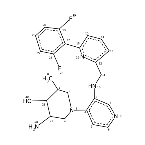 CC1CN(c2ccncc2NCc2cccc(-c3c(F)cccc3F)n2)CC(N)C1O